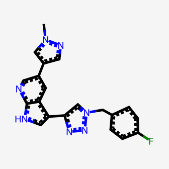 Cn1cc(-c2cnc3[nH]cc(-c4cn(Cc5ccc(F)cc5)nn4)c3c2)cn1